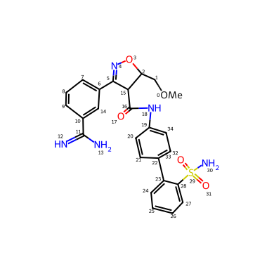 COCC1ON=C(c2cccc(C(=N)N)c2)C1C(=O)Nc1ccc(-c2ccccc2S(N)(=O)=O)cc1